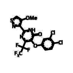 COc1csnc1-c1nc(C(F)(F)C(F)(F)F)c(Oc2ccc(Cl)c(Cl)c2)c(=O)[nH]1